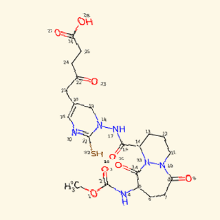 COC(=O)NC1CCC(=O)N2CCCC(C(=O)NN3CC(CC(=O)CCC(=O)O)=CN=C3S)N2C1=O